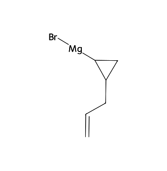 C=CCC1C[CH]1[Mg][Br]